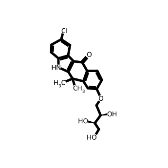 CC1(C)c2cc(OC[C@@H](O)[C@H](O)CO)ccc2C(=O)c2c1[nH]c1ccc(Cl)cc21